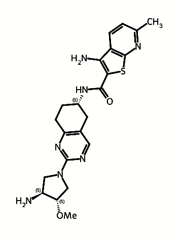 CO[C@H]1CN(c2ncc3c(n2)CC[C@H](NC(=O)c2sc4nc(C)ccc4c2N)C3)C[C@@H]1N